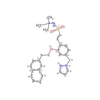 CC(C)(C)NS(=O)(=O)/C=C/c1ccc(Cn2cccn2)cc1OCCc1ccc2ccccc2c1